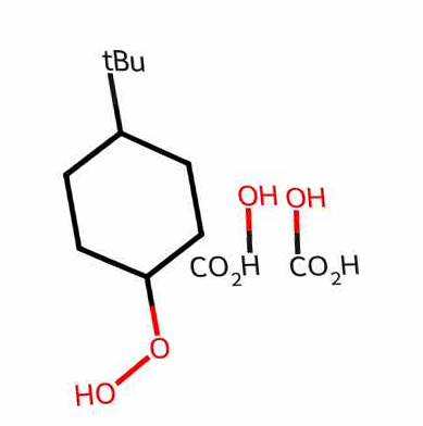 CC(C)(C)C1CCC(OO)CC1.O=C(O)O.O=C(O)O